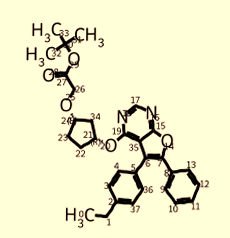 CCc1ccc(-c2c(-c3ccccc3)oc3ncnc(O[C@@H]4CC[C@H](OCC(=O)OC(C)(C)C)C4)c23)cc1